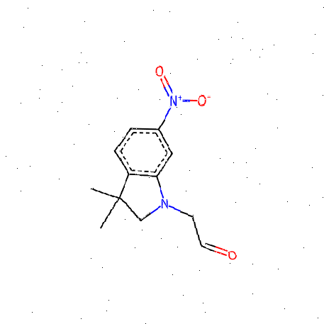 CC1(C)CN(CC=O)c2cc([N+](=O)[O-])ccc21